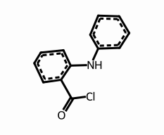 O=C(Cl)c1ccccc1Nc1ccccc1